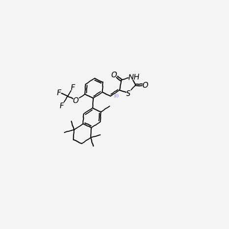 Cc1cc2c(cc1-c1c(/C=C3/SC(=O)NC3=O)cccc1OC(F)(F)F)C(C)(C)CCC2(C)C